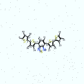 Cc1sc(-c2sc(-c3c(C)c(C)c(-c4sc(-c5sc(C)c(C)c5C)c(C)c4C)c4nsnc34)c(C)c2C)c(C)c1C